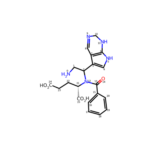 NCC(c1c[nH]c2c1C=NCN2)N(C(=O)c1ccccc1)[C@@H](CCC(=O)O)C(=O)O